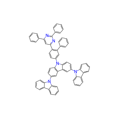 c1ccc(-c2cc(-c3ccc(-n4c5ccc(-n6c7ccccc7c7ccccc76)cc5c5cc(-n6c7ccccc7c7ccccc76)ccc54)cc3-c3ccccc3)nc(-c3ccccc3)n2)cc1